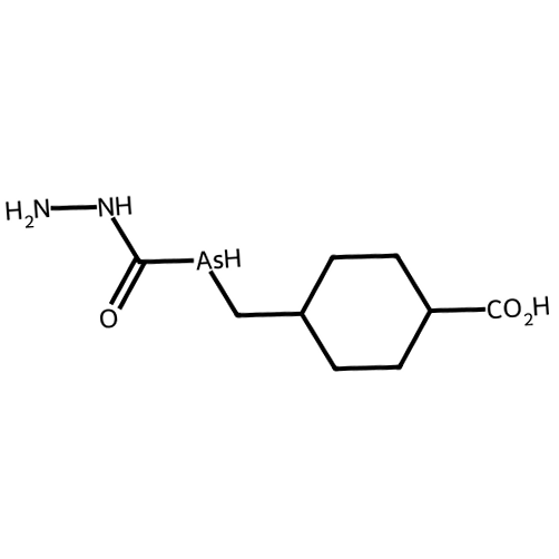 NNC(=O)[AsH]CC1CCC(C(=O)O)CC1